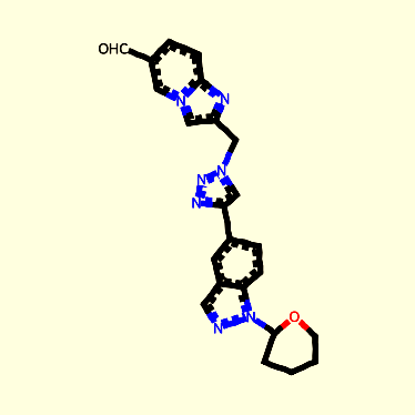 O=Cc1ccc2nc(Cn3cc(-c4ccc5c(cnn5C5CCCCO5)c4)nn3)cn2c1